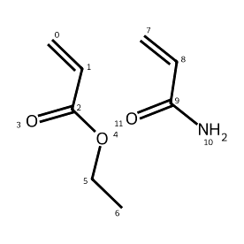 C=CC(=O)OCC.C=CC(N)=O